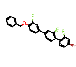 Fc1cc(-c2ccc(-c3ccc(Br)cc3F)c(F)c2)ccc1OCc1ccccc1